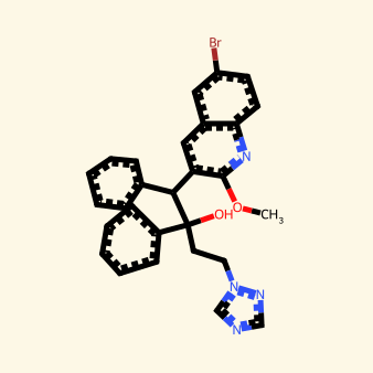 COc1nc2ccc(Br)cc2cc1C(c1ccccc1)C(O)(CCn1cncn1)c1ccccc1